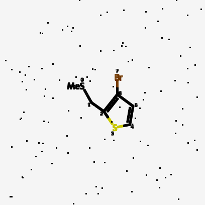 CSCc1s[c]cc1Br